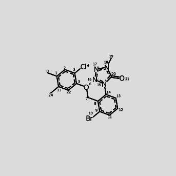 Cc1cc(Cl)c(OCc2c(Br)cccc2-n2nnn(C)c2=O)cc1C